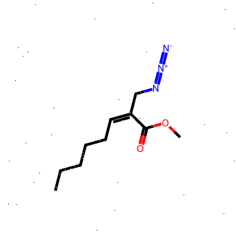 CCCCCC=C(CN=[N+]=[N-])C(=O)OC